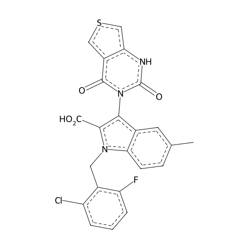 Cc1ccc2c(c1)c(-n1c(=O)[nH]c3cscc3c1=O)c(C(=O)O)n2Cc1c(F)cccc1Cl